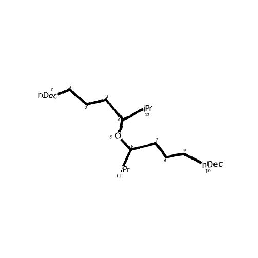 CCCCCCCCCCCCCC(OC(CCCCCCCCCCCCC)C(C)C)C(C)C